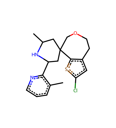 Cc1cccnc1C1CC2(COCCc3cc(Cl)sc32)CC(C)N1